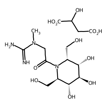 CN(CC(=O)N1[C@H](CO)[C@H](O)[C@@H](O)[C@H](O)[C@H]1CO)C(=N)N.O=C(O)CC(O)C(=O)O